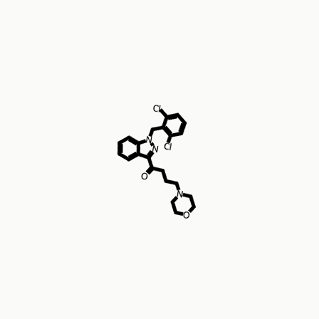 O=C(CCCN1CCOCC1)c1nn(Cc2c(Cl)cccc2Cl)c2ccccc12